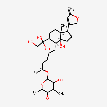 C=C1C=C(C2CC[C@]3(O)[C@H](CCCC[C@H](CC)OC4OC(C)C(O)C(C)C4O)C(C(O)(O)CO)CC[C@]23C)CO1